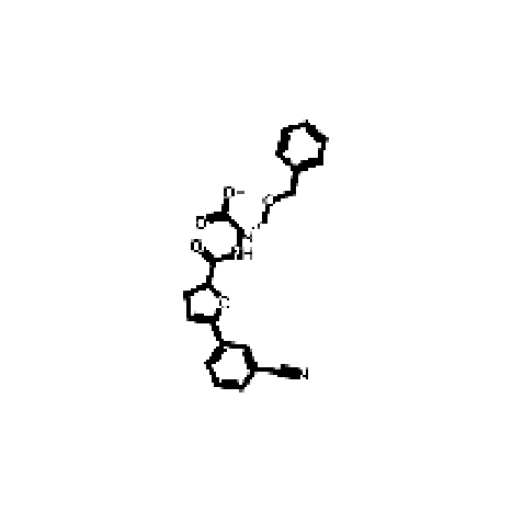 N#Cc1cccc(C2=CCC(C(=O)N[C@@H](COCc3ccccc3)C(=O)O)O2)c1